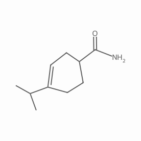 CC(C)C1=CCC(C(N)=O)CC1